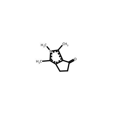 Cc1c2c(c(C)n1C)C(=O)CC2